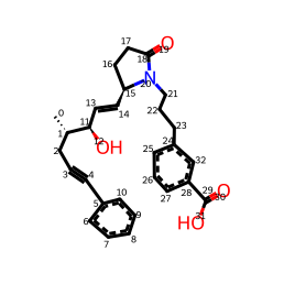 C[C@@H](CC#Cc1ccccc1)[C@H](O)/C=C/[C@H]1CCC(=O)N1CCCc1cccc(C(=O)O)c1